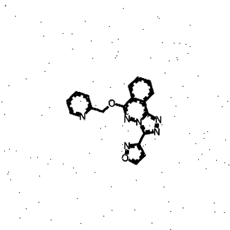 c1ccc(COc2nn3c(-c4ccon4)nnc3c3ccccc23)nc1